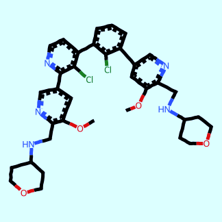 COc1cc(-c2cccc(-c3ccnc(-c4cnc(CNC5CCOCC5)c(OC)c4)c3Cl)c2Cl)cnc1CNC1CCOCC1